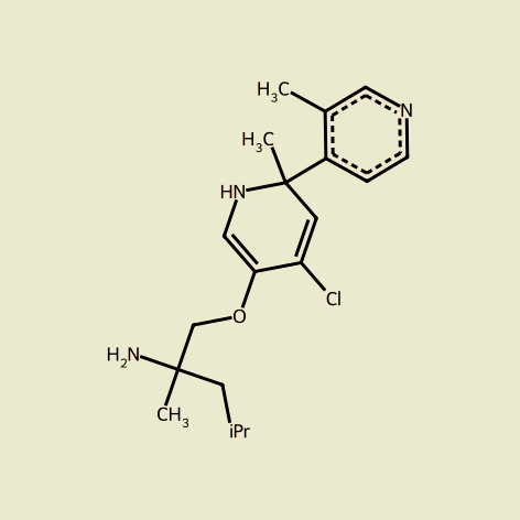 Cc1cnccc1C1(C)C=C(Cl)C(OCC(C)(N)CC(C)C)=CN1